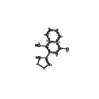 Oc1c(C2=NCCN2)nc(Cl)c2ccccc12